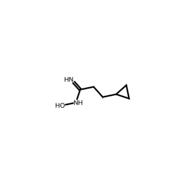 N=C(C[CH]C1CC1)NO